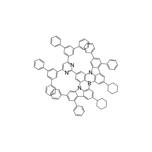 c1ccc(-c2cc(-c3ccccc3)cc(-c3cc(-c4cc(-c5ccccc5)cc(-c5ccccc5)c4)nc(-c4cc5c6c(c4)-n4c7cc(-c8ccccc8)cc(-c8ccccc8)c7c7cc(C8CCCCC8)cc(c74)B6c4cc(C6CCCCC6)cc6c7c(-c8ccccc8)cc(-c8ccccc8)cc7n-5c46)n3)c2)cc1